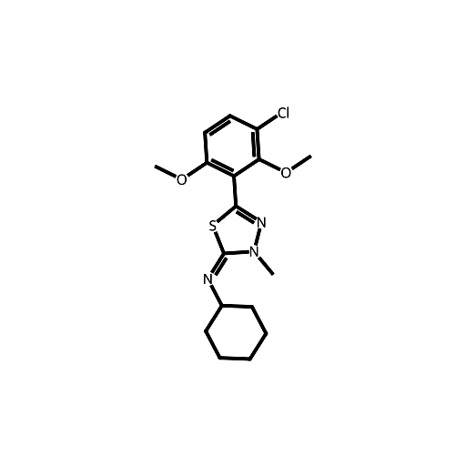 COc1ccc(Cl)c(OC)c1-c1nn(C)/c(=N\C2CCCCC2)s1